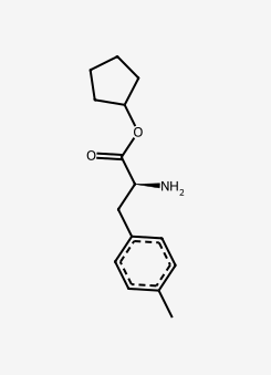 Cc1ccc(C[C@H](N)C(=O)OC2CCCC2)cc1